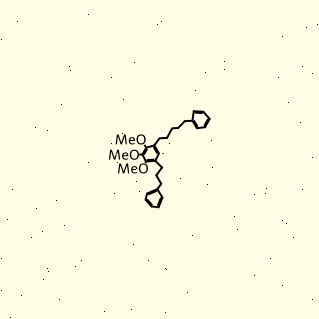 COc1c(CCCCCc2ccccc2)[c]c(CCCc2ccccc2)c(OC)c1OC